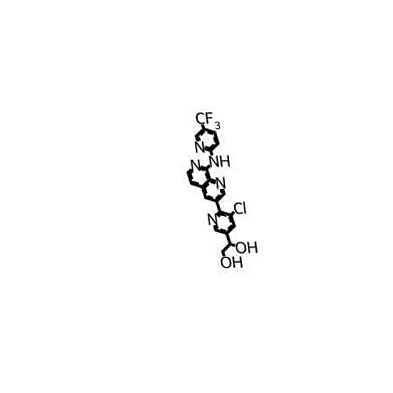 OCC(O)c1cnc(-c2cnc3c(Nc4ccc(C(F)(F)F)cn4)nccc3c2)c(Cl)c1